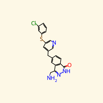 NCc1n[nH]c(=O)c2ccc(Cc3cncc(Sc4cccc(Cl)c4)c3)cc12